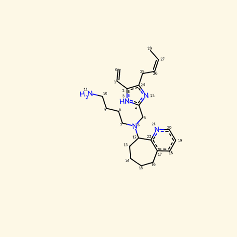 C=Cc1[nH]c(CN(CCCCN)C2CCCCc3cccnc32)nc1C/C=C\C